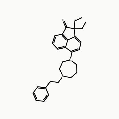 CCC1(CC)C(=O)c2cccc3c(N4CCCN(CCc5ccccc5)CC4)ccc1c23